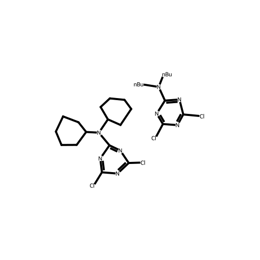 CCCCN(CCCC)c1nc(Cl)nc(Cl)n1.Clc1nc(Cl)nc(N(C2CCCCC2)C2CCCCC2)n1